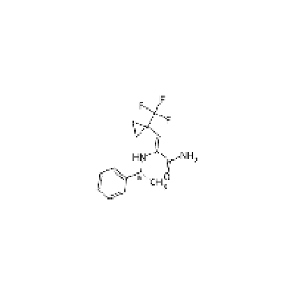 C[C@@H](NC(=CC1(C(F)(F)F)CC1)C(N)=O)c1ccccc1